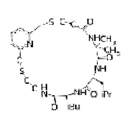 CC[C@H](C)[C@@H]1NC(=O)[C@H](CC(C)C)NC(=O)C(C)(C)NC(=O)CCSCc2cccc(n2)CSCCNC1=O